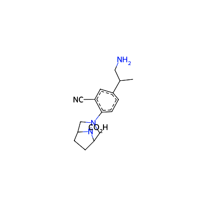 CC(CN)c1ccc(N2CC3CCC(C2)N3C(=O)O)c(C#N)c1